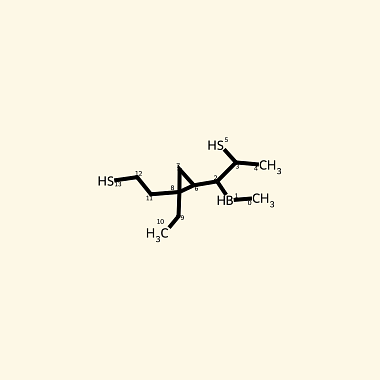 CBC(C(C)S)C1CC1(CC)CCS